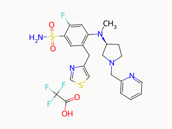 CN(c1cc(F)c(S(N)(=O)=O)cc1Cc1cscn1)[C@H]1CCN(Cc2ccccn2)C1.O=C(O)C(F)(F)F